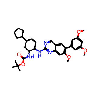 COc1cc(OC)cc(-c2cc3cnc(NC4CCC(C5CCCC5)CC4NC(=O)OC(C)(C)C)nc3cc2OC)c1